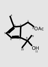 CC(=O)OCC1C(C)=CC=C1C(C)(C)O